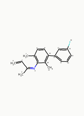 C=C/C(C)=N\c1c(C)ccc(-c2cccc(F)c2)c1C